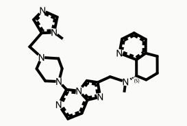 CN(Cc1cn2c(N3CCN(Cc4cncn4C)CC3)nccc2n1)[C@H]1CCCc2cccnc21